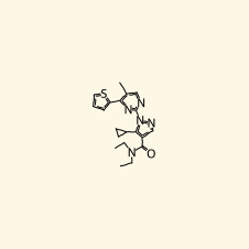 CCN(CC)C(=O)c1cnn(-c2ncc(C)c(-c3cccs3)n2)c1C1CC1